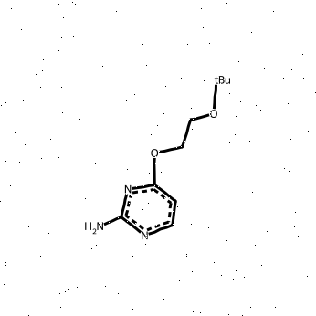 CC(C)(C)OCCOc1ccnc(N)n1